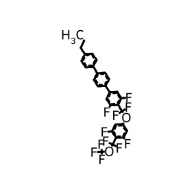 CCCc1ccc(-c2ccc(-c3cc(F)c(C(F)(F)Oc4cc(F)c(C(F)(F)OC(F)(F)F)c(F)c4)c(F)c3)cc2)cc1